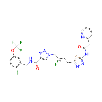 O=C(Cc1ccccn1)Nc1nnc(CC[C@@H](F)Cn2cc(C(=O)NCc3cc(OC(F)(F)F)ccc3F)nn2)s1